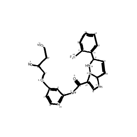 O=C(Nc1cc(OCC(O)CO)ccn1)C1=CNC2C=CC(c3ccccc3C(F)(F)F)NN12